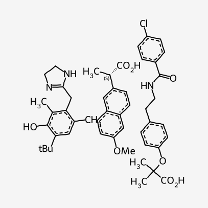 CC(C)(Oc1ccc(CCNC(=O)c2ccc(Cl)cc2)cc1)C(=O)O.COc1ccc2cc([C@H](C)C(=O)O)ccc2c1.Cc1cc(C(C)(C)C)c(O)c(C)c1CC1=NCCN1